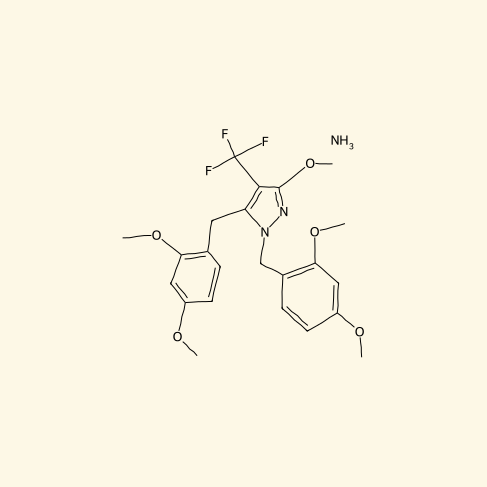 COc1ccc(Cc2c(C(F)(F)F)c(OC)nn2Cc2ccc(OC)cc2OC)c(OC)c1.N